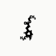 CCOC(=O)/C=C/c1ccc(F)c(C)c1